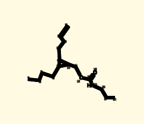 C=CCCC1C(CCCC)C1COC(=O)NCCC